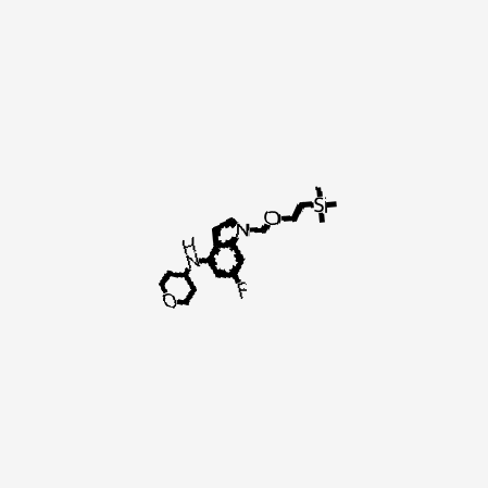 C[Si](C)(C)CCOCn1ccc2c(NC3CCOCC3)cc(F)cc21